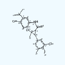 C=C(C)c1cc(NC(=C)C2C(c3cc(C)c(F)c(Cl)c3)C2(C)Cl)ccc1Cl